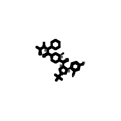 CC(=O)N(C)[C@H](C(=O)N1CCN(C(=O)[C@@H]2CN(C(C)(C)C)C[C@H]2c2ccc(F)cc2F)[C@@H](C)C1)C1CCCCC1